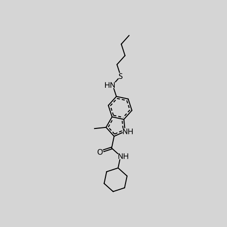 CCCCSNc1ccc2[nH]c(C(=O)NC3CCCCC3)c(C)c2c1